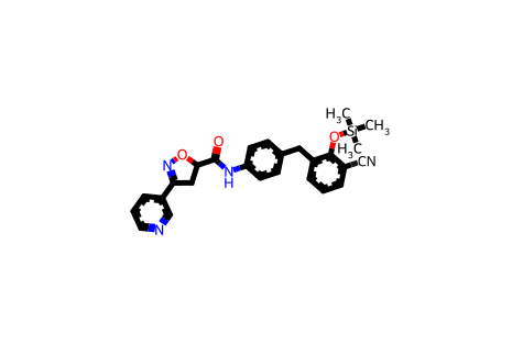 C[Si](C)(C)Oc1c(C#N)cccc1Cc1ccc(NC(=O)C2CC(c3cccnc3)=NO2)cc1